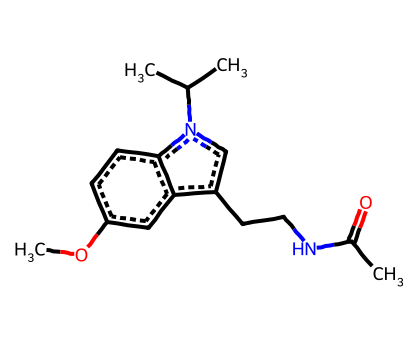 COc1ccc2c(c1)c(CCNC(C)=O)cn2C(C)C